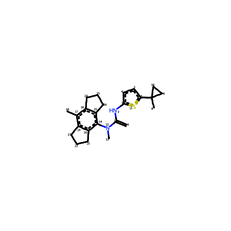 C=C(Nc1ccc(C2(C)CC2)s1)N(C)c1c2c(c(C)c3c1CCC3)CCC2